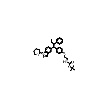 CC/C(=C(/c1ccc(SCCNC(=O)OC(C)(C)C)cc1)c1ccc2c(cnn2C2CCCCO2)c1)c1ccccc1